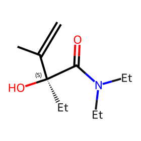 C=C(C)[C@@](O)(CC)C(=O)N(CC)CC